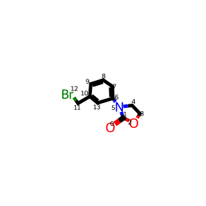 O=C1OCCN1c1cccc(CBr)c1